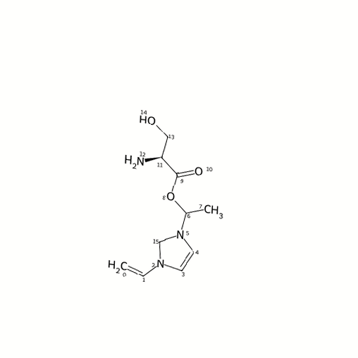 C=CN1C=CN(C(C)OC(=O)[C@@H](N)CO)C1